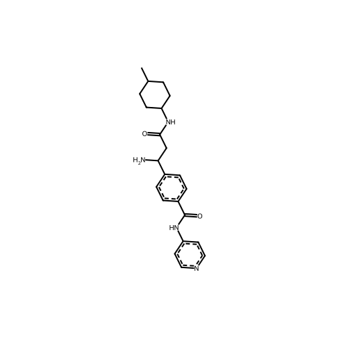 CC1CCC(NC(=O)CC(N)c2ccc(C(=O)Nc3ccncc3)cc2)CC1